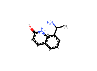 CC(N)c1cccc2ccc(=O)[nH]c12